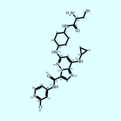 CC(C)C[C@H](N)C(=O)NC1CCC(Nc2cc(NC3CC3)c3ncc(C(=O)Nc4ccnc(Cl)c4)n3n2)CC1